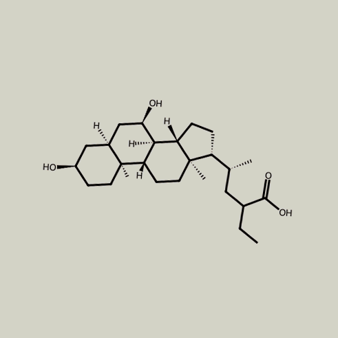 CCC(C[C@@H](C)[C@H]1CC[C@H]2[C@@H]3[C@H](O)C[C@@H]4C[C@H](O)CC[C@]4(C)[C@H]3CC[C@]12C)C(=O)O